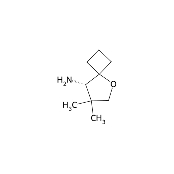 CC1(C)COC2(CCC2)[C@H]1N